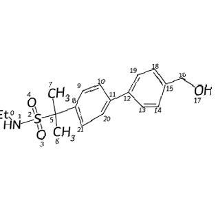 CCNS(=O)(=O)C(C)(C)c1ccc(-c2ccc(CO)cc2)cc1